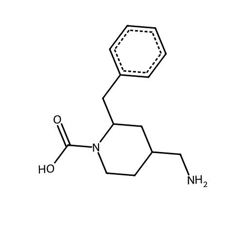 NCC1CCN(C(=O)O)C(Cc2ccccc2)C1